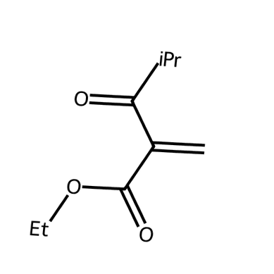 C=C(C(=O)OCC)C(=O)C(C)C